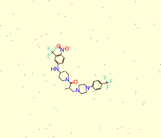 CC(CN1CCN(c2ccc(C(F)(F)F)cc2)CC1)C(=O)N1CCC(Nc2ccc([N+](=O)[O-])c(C(F)(F)F)c2)CC1